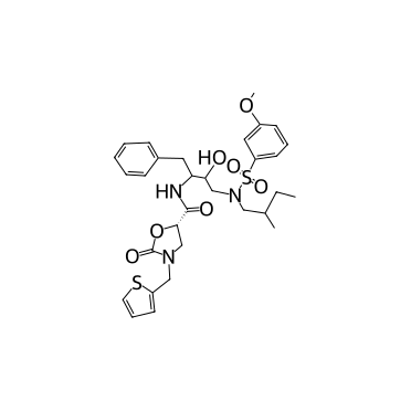 CCC(C)CN(CC(O)C(Cc1ccccc1)NC(=O)[C@@H]1CN(Cc2cccs2)C(=O)O1)S(=O)(=O)c1cccc(OC)c1